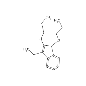 CCCOC1=C(CC)c2ccccc2C1OCCC